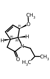 CO[C@@H]1C=C[C@H]2CC(=O)N(CC(C)C)[C@H]21